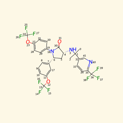 CC(C)(N[C@@H]1C[C@H](c2cccc(OC(F)(F)F)c2)N(c2ccc(OC(F)(F)F)cc2)C1=O)c1ccc(C(F)(F)F)nc1